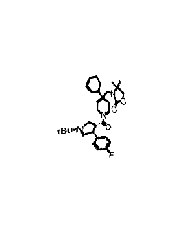 CC(C)(C)N1C[C@H](C(=O)N2CCC(CN3C(=O)OCC3(C)C)(C3CCCCC3)CC2)[C@@H](c2ccc(F)cc2)C1